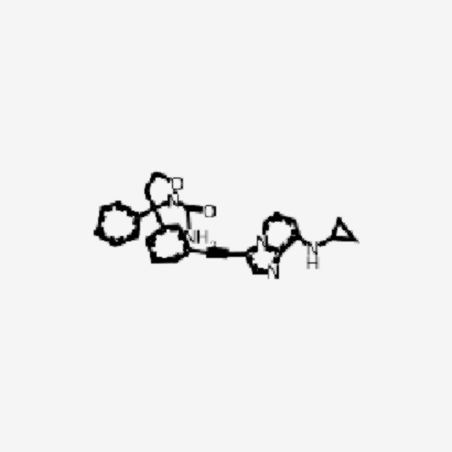 NC(=O)N1OCCC1(c1ccccc1)c1cccc(C#Cc2cnc3c(NC4CC4)cccn23)c1